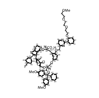 COCCOCCOCCOc1ccccc1-c1nccc(COc2ccc3cc2C[C@H](C(=O)O)Oc2ncnc4sc(-c5ccc(F)cc5)c(c24)-c2ccc(c(Cl)c2C)O[C@H](COC(c2ccccc2)(c2ccc(OC)cc2)c2ccc(OC)cc2)CO3)n1